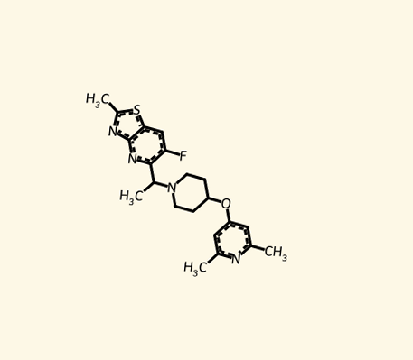 Cc1cc(OC2CCN(C(C)c3nc4nc(C)sc4cc3F)CC2)cc(C)n1